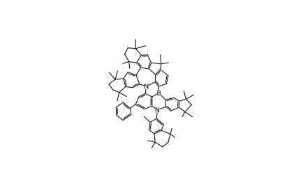 Cc1cc2c(cc1N1c3cc4c(cc3B3c5ccc6c7c5N(c5cc8c(cc5-c5c-7c(cc7c5C(C)(C)CCC7(C)C)C6(C)C)C(C)(C)CCC8(C)C)c5cc(-c6ccccc6)cc1c53)C(C)(C)CC4(C)C)C(C)(C)CCC2(C)C